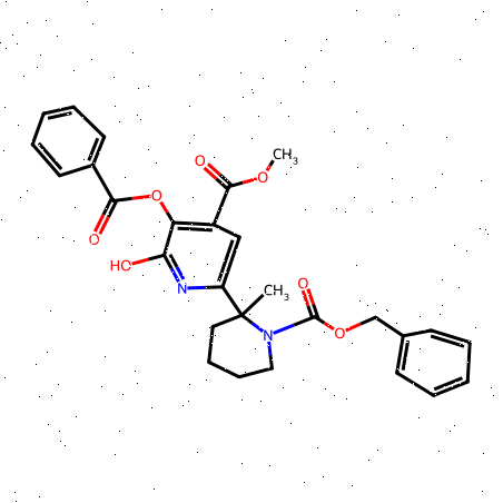 COC(=O)c1cc(C2(C)CCCCN2C(=O)OCc2ccccc2)nc(O)c1OC(=O)c1ccccc1